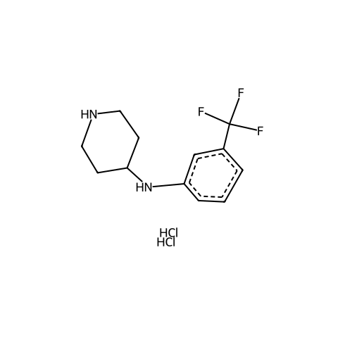 Cl.Cl.FC(F)(F)c1cccc(NC2CCNCC2)c1